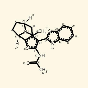 CCN1[C@H]2CC[C@@H]1c1sc(NC(C)=O)c(-c3nc4ccccc4s3)c1C2